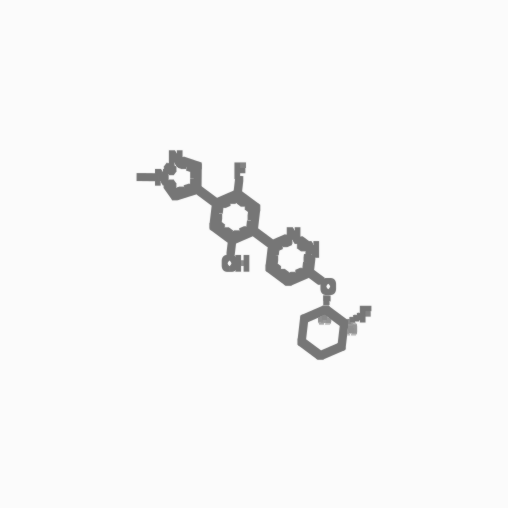 Cn1cc(-c2cc(O)c(-c3ccc(O[C@H]4CCCC[C@H]4F)nn3)cc2F)cn1